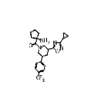 NC1(C(=O)N2CC(c3ccc(C(F)(F)F)cc3)CC(c3nc(C4CC4)no3)C2)CCCC1